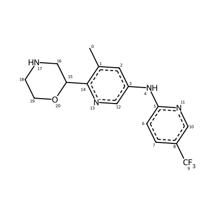 Cc1cc(Nc2ccc(C(F)(F)F)cn2)cnc1C1CNCCO1